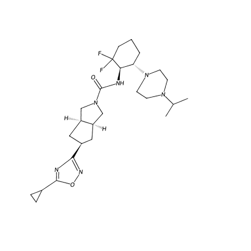 CC(C)N1CCN([C@H]2CCCC(F)(F)[C@@H]2NC(=O)N2C[C@H]3C[C@@H](c4noc(C5CC5)n4)C[C@H]3C2)CC1